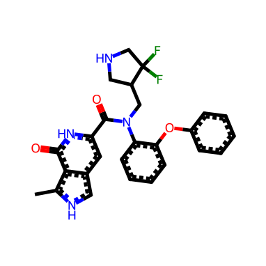 Cc1[nH]cc2cc(C(=O)N(CC3CNCC3(F)F)c3ccccc3Oc3ccccc3)[nH]c(=O)c12